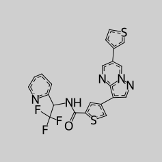 O=C(NC(c1ccccn1)C(F)(F)F)c1cc(-c2cnn3cc(-c4ccsc4)cnc23)cs1